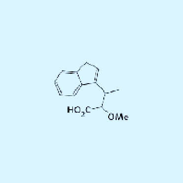 COC(C(=O)O)C(C)C1=CCc2ccccc21